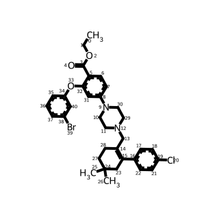 CCOC(=O)c1ccc(N2CCN(CC3=C(c4ccc(Cl)cc4)CC(C)(C)CC3)CC2)cc1Oc1cccc(Br)c1